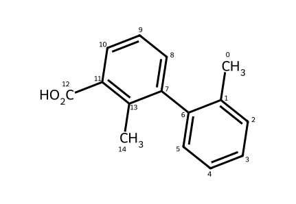 Cc1ccccc1-c1cccc(C(=O)O)c1C